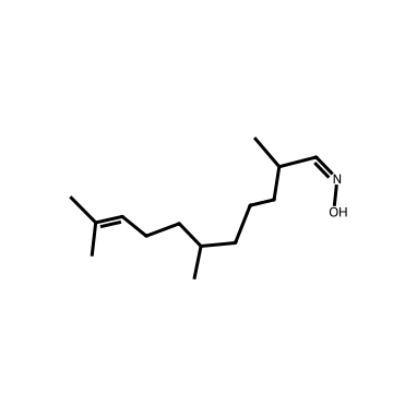 CC(C)=CCCC(C)CCCC(C)/C=N\O